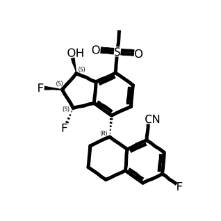 CS(=O)(=O)c1ccc([C@H]2CCCc3cc(F)cc(C#N)c32)c2c1[C@H](O)[C@H](F)[C@H]2F